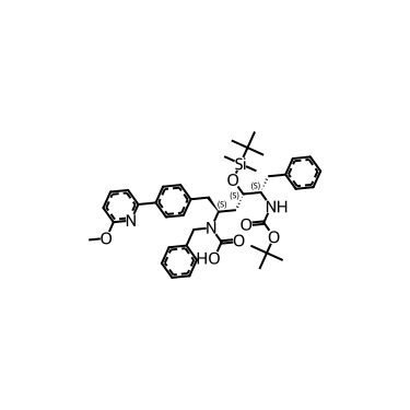 COc1cccc(-c2ccc(C[C@@H](C[C@H](O[Si](C)(C)C(C)(C)C)[C@H](Cc3ccccc3)NC(=O)OC(C)(C)C)N(Cc3ccccc3)C(=O)O)cc2)n1